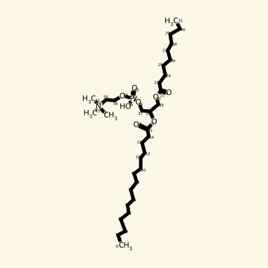 CCCCCCCCCCCCCCCC(=O)OC(COC(=O)CCCCCCCCC)COP(=O)(O)OCC[N+](C)(C)C